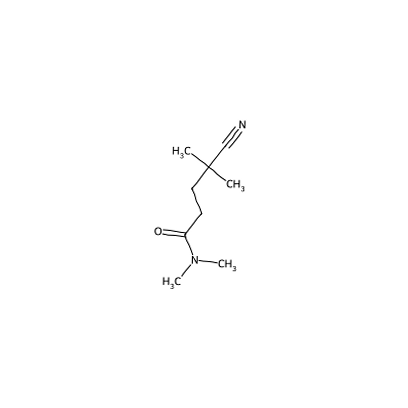 CN(C)C(=O)CCC(C)(C)C#N